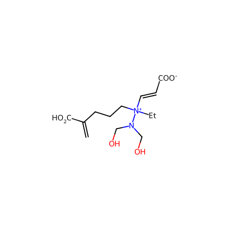 C=C(CCC[N+](C=CC(=O)[O-])(CC)N(CO)CO)C(=O)O